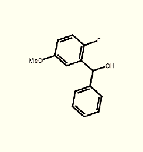 COc1ccc(F)c(C(O)c2ccccc2)c1